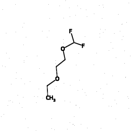 CCOCCOC(F)F